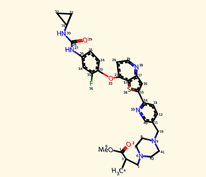 COC(=O)C(C)CN1CCN(Cc2ccc(-c3cc4nccc(Oc5ccc(NC(=O)NC6CC6)cc5F)c4s3)nc2)CC1